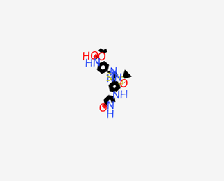 CC(C)OC(O)N[C@H]1CC[C@H](c2ncc(-c3ccc(Nc4ccc(=O)[nH]c4)cc3S(=N)(=O)C3CC3)s2)CC1